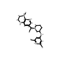 Cc1cc(OC2CCCN(C(C)c3cnc4c(c3)OCCN4C)C2)cc(C)n1